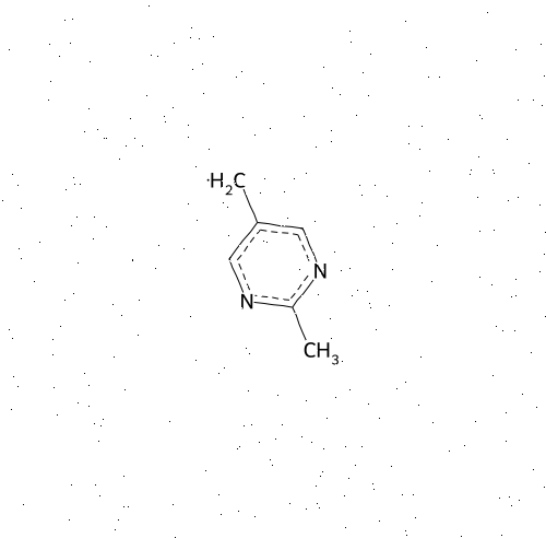 [CH2]c1cnc(C)nc1